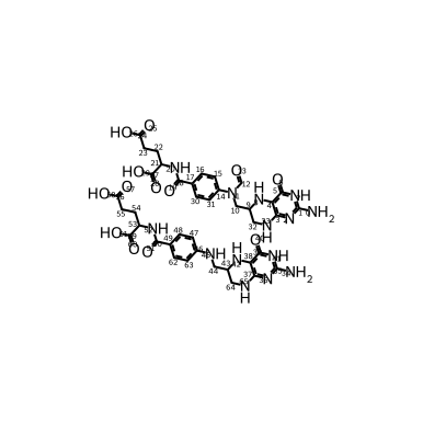 Nc1nc2c(c(=O)[nH]1)NC(CN(C=O)c1ccc(C(=O)NC(CCC(=O)O)C(=O)O)cc1)CN2.Nc1nc2c(c(=O)[nH]1)NC(CNc1ccc(C(=O)NC(CCC(=O)O)C(=O)O)cc1)CN2